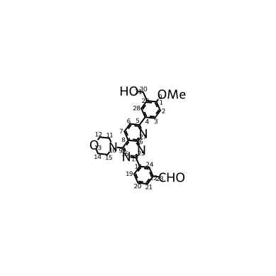 COc1ccc(-c2ccc3c(N4CCOCC4)nc(-c4cccc(C=O)c4)nc3n2)cc1CO